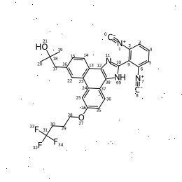 [C-]#[N+]c1cccc([N+]#[C-])c1-c1nc2c3ccc(CC(C)(C)O)cc3c3cc(OCCCC(F)(F)F)ccc3c2[nH]1